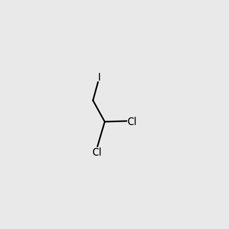 ClC(Cl)CI